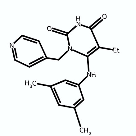 CCc1c(Nc2cc(C)cc(C)c2)n(Cc2ccncc2)c(=O)[nH]c1=O